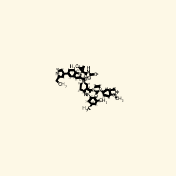 CCc1cc(-c2ccc3c(c2)cc(C(=O)N2CCc4nn(-c5cc(C)cc(C)c5)c(-n5ccn(-c6ccc7c(cnn7C)c6)c5=O)c4C2)n3[C@@]2(c3noc(=O)[nH]3)C[C@@H]2C)ccn1